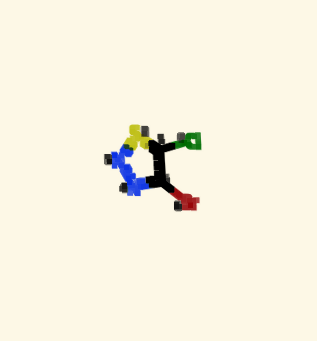 Clc1snnc1Br